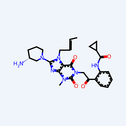 C/C=C/Cn1c(N2CCC[C@@H](N)C2)nc2c1c(=O)n(CC(=O)c1ccccc1NC(=O)C1CC1)c(=O)n2C